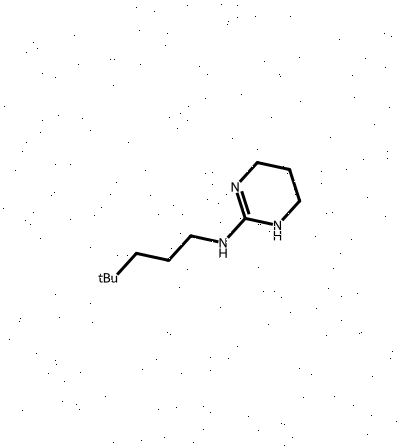 CC(C)(C)CCCNC1=NCCCN1